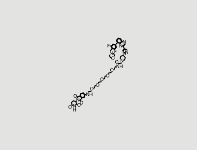 O=C(CN1CCC(n2cc(-c3cnc4cccc(-c5cc(F)c(CN6CCOCC6)c(F)c5)c4n3)cn2)CC1)NCCOCCOCCOCCOCCOCCNc1ccc2c(c1)C(=O)N(C1CCC(=O)NC1=O)C2=O